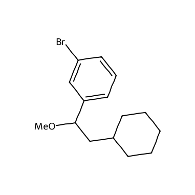 COC(CC1CCCCC1)c1cccc(Br)c1